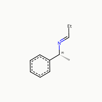 CCC=N[C@H](C)c1ccccc1